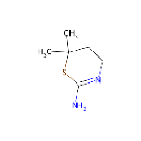 CC1(C)CCN=C(N)S1